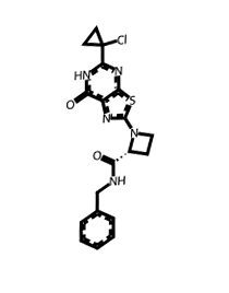 O=C(NCc1ccccc1)[C@H]1CCN1c1nc2c(=O)[nH]c(C3(Cl)CC3)nc2s1